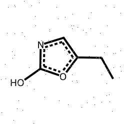 CCc1cnc(O)o1